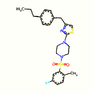 CCCc1ccc(Cc2csc(N3CCN(S(=O)(=O)c4cc(F)ccc4C)CC3)n2)cc1